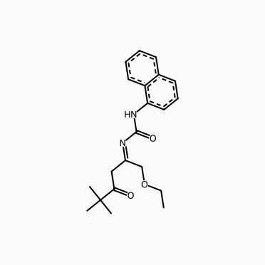 CCOC/C(CC(=O)C(C)(C)C)=N\C(=O)Nc1cccc2ccccc12